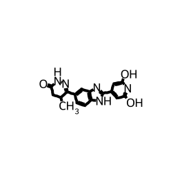 CC1CC(=O)NN=C1c1ccc2[nH]c(-c3cc(O)nc(O)c3)nc2c1